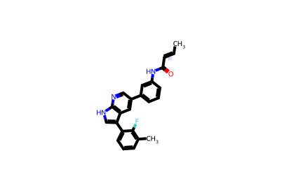 C/C=C/C(=O)Nc1cccc(-c2cnc3[nH]cc(-c4cccc(C)c4F)c3c2)c1